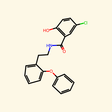 O=C(NCCc1ccccc1Oc1ccccc1)c1cc(Cl)ccc1O